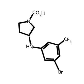 O=C(O)N1CC[C@H](Nc2cc(Br)cc(C(F)(F)F)c2)C1